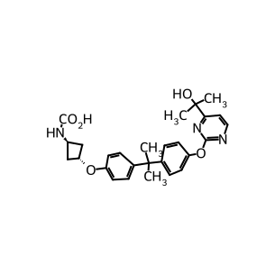 CC(C)(O)c1ccnc(Oc2ccc(C(C)(C)c3ccc(O[C@H]4C[C@H](NC(=O)O)C4)cc3)cc2)n1